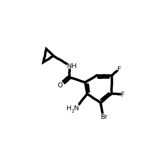 Nc1c(C(=O)NC2CC2)cc(F)c(F)c1Br